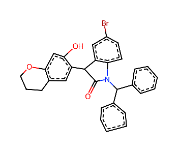 O=C1C(c2cc3c(cc2O)OCCC3)c2cc(Br)ccc2N1C(c1ccccc1)c1ccccc1